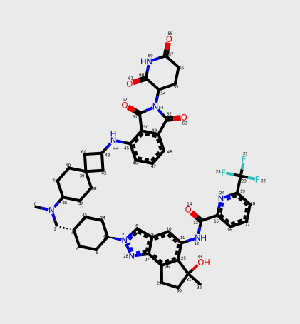 CN(C[C@H]1CC[C@H](n2cc3cc(NC(=O)c4cccc(C(F)(F)F)n4)c4c(c3n2)CCC4(C)O)CC1)C1CCC2(CC1)CC(Nc1cccc3c1C(=O)N(C1CCC(=O)NC1=O)C3=O)C2